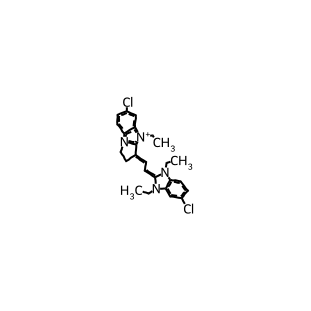 CCN1C(=CC=C2CCn3c2[n+](CC)c2cc(Cl)ccc23)N(CC)c2cc(Cl)ccc21